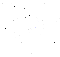 C=CNCCC1=C(C(CN2CCc3cc(C(CC)CCCC4CC5(C=CC5)C4)ccc3C2)C(CCC)C(C=C)CC)C=CC=C=C1